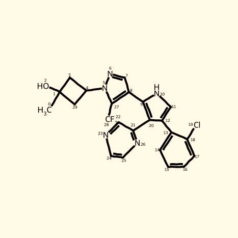 CC1(O)CC(n2ncc(-c3[nH]cc(-c4ccccc4Cl)c3-c3cnccn3)c2C(F)(F)F)C1